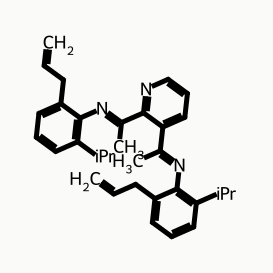 C=CCc1cccc(C(C)C)c1N=C(C)c1cccnc1C(C)=Nc1c(CC=C)cccc1C(C)C